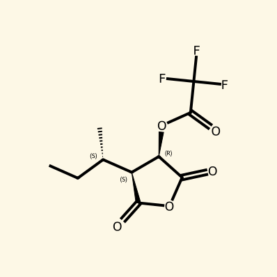 CC[C@H](C)[C@@H]1C(=O)OC(=O)[C@@H]1OC(=O)C(F)(F)F